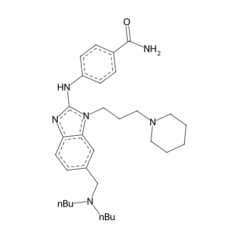 CCCCN(CCCC)Cc1ccc2nc(Nc3ccc(C(N)=O)cc3)n(CCCN3CCCCC3)c2c1